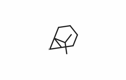 CC(C)C12[C]C1CCCC2